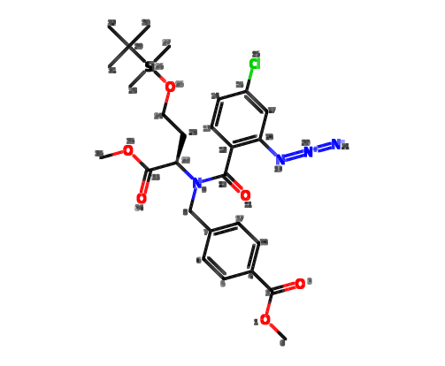 COC(=O)c1ccc(CN(C(=O)c2ccc(Cl)cc2N=[N+]=[N-])[C@H](CCO[Si](C)(C)C(C)(C)C)C(=O)OC)cc1